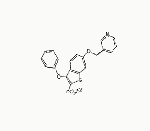 CCOC(=O)c1sc2cc(OCc3cccnc3)ccc2c1Oc1ccccc1